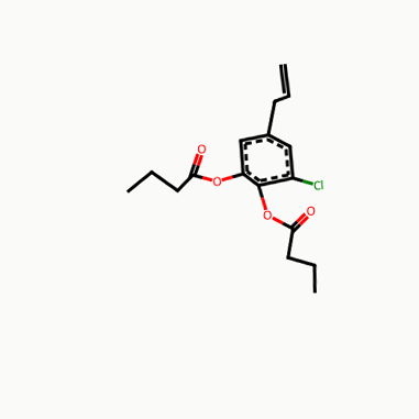 C=CCc1cc(Cl)c(OC(=O)CCC)c(OC(=O)CCC)c1